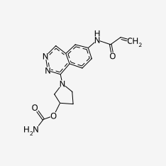 C=CC(=O)Nc1ccc2c(N3CCC(OC(N)=O)C3)nncc2c1